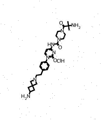 CC(C)(N)C(=O)N1CCN(C(=O)Nc2ccn(-c3ccc(CCN4CC5(CC(N)C5)C4)cc3)c(=O)n2)CC1.Cl